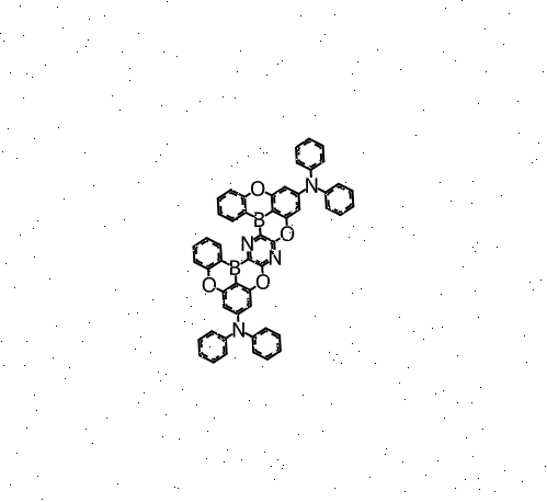 c1ccc(N(c2ccccc2)c2cc3c4c(c2)Oc2nc5c(nc2B4c2ccccc2O3)B2c3ccccc3Oc3cc(N(c4ccccc4)c4ccccc4)cc(c32)O5)cc1